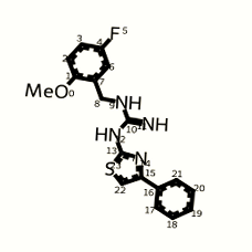 COc1ccc(F)cc1CNC(=N)Nc1nc(-c2ccccc2)cs1